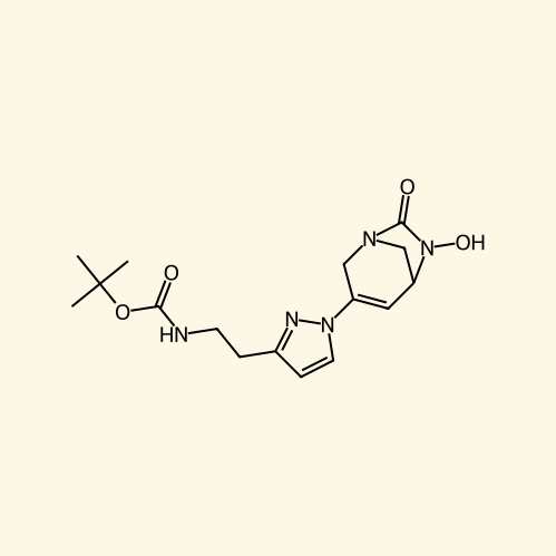 CC(C)(C)OC(=O)NCCc1ccn(C2=CC3CN(C2)C(=O)N3O)n1